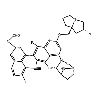 C#Cc1c(F)ccc2cc(OC=O)cc(-c3c(F)c(OC)c4c(N5CC6CCC(C5)N6)nc(OC[C@@]56CCCN5C[C@H](F)C6)nc4c3F)c12